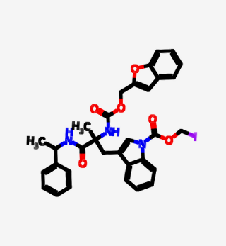 CC(NC(=O)C(C)(Cc1cn(C(=O)OCI)c2ccccc12)NC(=O)OCc1cc2ccccc2o1)c1ccccc1